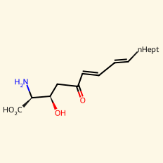 CCCCCCC/C=C/C=CC(=O)C[C@@H](O)[C@H](N)C(=O)O